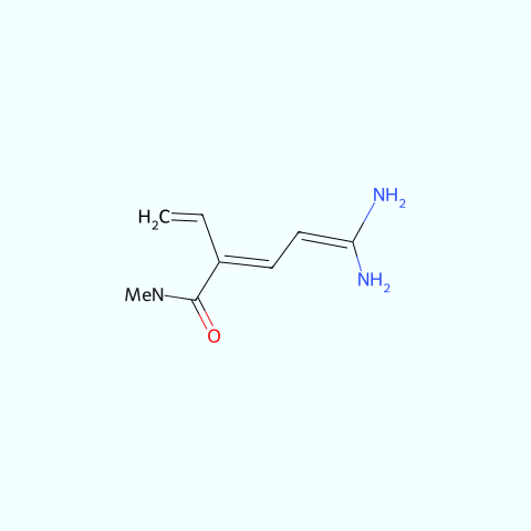 C=C/C(=C\C=C(N)N)C(=O)NC